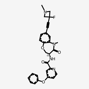 CN1CC(F)(C#Cc2ccc3c(c2)N(C)C(=O)[C@@H](NC(=O)c2cc(Oc4ccccc4)ccn2)CO3)C1